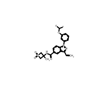 C=Cc1nn(-c2cccc(OC(F)F)c2)c2ccc(C(=O)NC3(C)CS(=O)(=O)C3)cc12